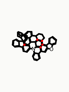 c1ccc(N(c2ccc3c(c2)C2(c4ccccc4-3)C3CC4CC(C3)C2C4)c2ccccc2-c2cccc3cccc(C4CCCCC4)c23)c(-c2ccc3c(c2)oc2ccccc23)c1